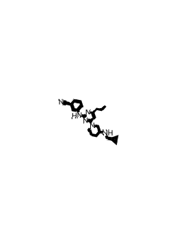 CCCc1cc(N2CCCC(NCC3CC3)C2)nc(Nc2cccc(C#N)c2)n1